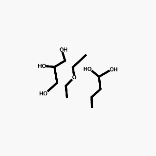 CCCC(O)O.CCOCC.OCC(O)CO